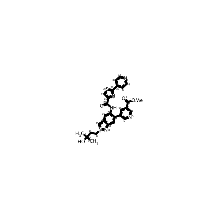 COC(=O)c1cncc(-c2cc3nn(CCC(C)(C)O)cc3cc2NC(=O)c2csc(-c3ccncc3)n2)c1